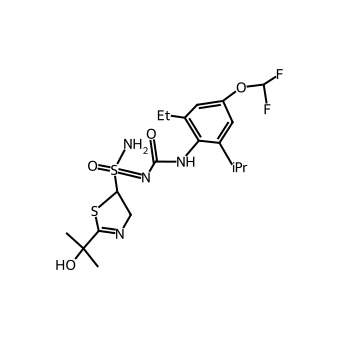 CCc1cc(OC(F)F)cc(C(C)C)c1NC(=O)N=S(N)(=O)C1CN=C(C(C)(C)O)S1